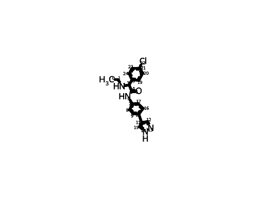 CCNC(C(=O)Nc1ccc(-c2cn[nH]c2)cc1)c1ccc(Cl)cc1